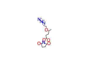 CC(CCC(=O)ON1C(=O)CCC1=O)OCCN=[N+]=[N-]